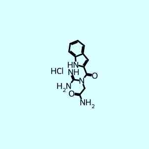 Cl.N=C(N)N(CC(N)=O)C(=O)c1cc2ccccc2[nH]1